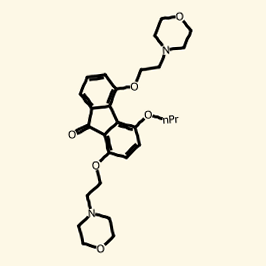 CCCOc1ccc(OCCN2CCOCC2)c2c1-c1c(OCCN3CCOCC3)cccc1C2=O